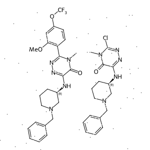 COc1cc(OC(F)(F)F)ccc1-c1nnc(N[C@@H]2CCCN(Cc3ccccc3)C2)c(=O)n1C.Cn1c(Cl)nnc(N[C@@H]2CCCN(Cc3ccccc3)C2)c1=O